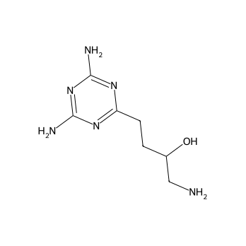 NCC(O)CCc1nc(N)nc(N)n1